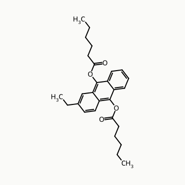 CCCCCC(=O)Oc1c2ccccc2c(OC(=O)CCCCC)c2cc(CC)ccc12